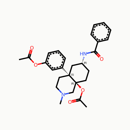 CC(=O)Oc1cccc([C@@]23CCN(C)C[C@@]2(OC(C)=O)CC[C@@H](NC(=O)c2ccccc2)C3)c1